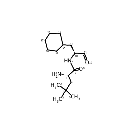 CC(C)(C)C[C@H](N)C(=O)N[C@H]([C]=O)CC1CCCCC1